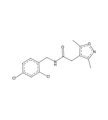 Cc1noc(C)c1CC(=O)NCc1ccc(Cl)cc1Cl